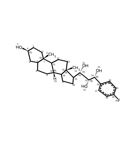 C[C@]12CC[C@H](O)CC1CC[C@@H]1C2CC[C@@]2(C)C1CCC2[C@H](O)[C@@H](O)[C@H](O)c1ccc(F)cc1